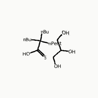 CCCCCC(CCCC)(CCCC)C(O)=S.OCC(O)CO